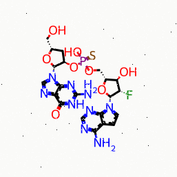 Nc1nc2c(ncn2[C@@H]2O[C@H](CO)C[C@H]2OP(O)(=S)OC[C@H]2O[C@@H](n3ccc4c(N)ncnc43)[C@@H](F)[C@@H]2O)c(=O)[nH]1